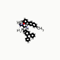 C/C=C\C(=C/N)C/C(=N\c1c(N)sc2cc(-c3ccccc3)c(-c3ccccc3)cc12)n1c2ccccc2c2cc3ccc(C)cc3cc21